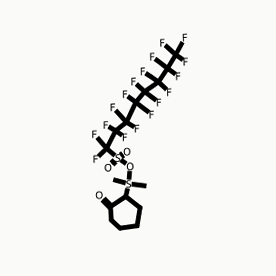 CS(C)(OS(=O)(=O)C(F)(F)C(F)(F)C(F)(F)C(F)(F)C(F)(F)C(F)(F)C(F)(F)C(F)(F)F)C1CCCCC1=O